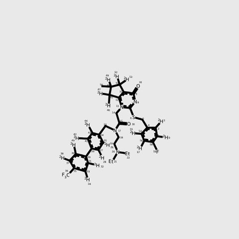 [2H]c1c([2H])c(CSc2nc(=O)c3c(n2CC(=O)N(CCN(CC)CC)Cc2c([2H])c([2H])c(-c4c([2H])c([2H])c(C(F)(F)F)c([2H])c4[2H])c([2H])c2[2H])C([2H])([2H])C([2H])(C)C3([2H])[2H])c([2H])c([2H])c1F